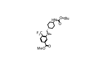 COC(=O)c1ccc(C(F)(F)F)c(N(C)C[C@H]2CC[C@H](NC(=O)OC(C)(C)C)CC2)c1